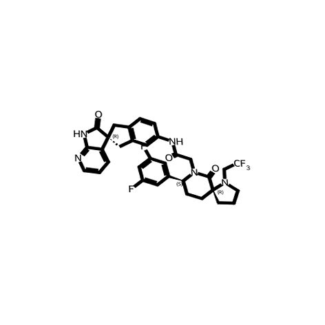 O=C(CN1C(=O)[C@@]2(CCCN2CC(F)(F)F)CC[C@H]1c1cc(F)cc(F)c1)Nc1ccc2c(c1)C[C@@]1(C2)C(=O)Nc2ncccc21